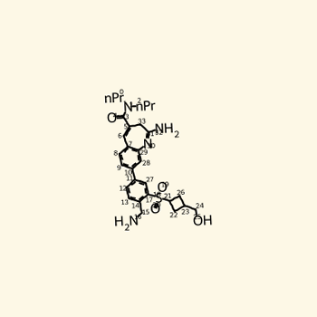 CCCN(CCC)C(=O)C1=Cc2ccc(-c3ccc(CN)c(S(=O)(=O)C4CC(CO)C4)c3)cc2N=C(N)C1